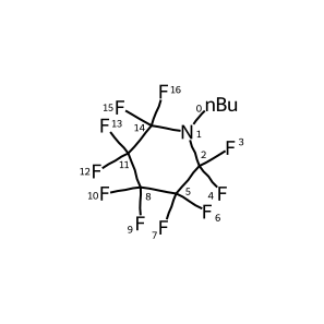 CCCCN1C(F)(F)C(F)(F)C(F)(F)C(F)(F)C1(F)F